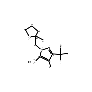 Cc1c(C(C)(F)F)nn(CC2(C)CCCO2)c1C(=O)O